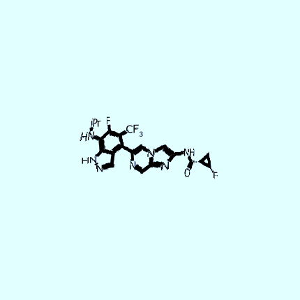 CC(C)Nc1c(F)c(C(F)(F)F)c(-c2cn3cc(NC(=O)[C@@H]4C[C@@H]4F)nc3cn2)c2cn[nH]c12